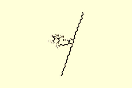 CCCCCCCCCCCCCCCCN(CCCCCCCCCCCCCCCC)[C@@H](CCCCN)C(=O)O.NCC(=O)O.NCC(=O)O